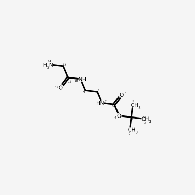 CC(C)(C)OC(=O)NCCNC(=O)CN